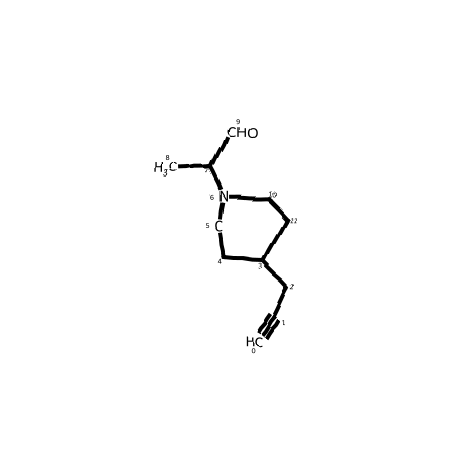 C#CCC1CCN(C(C)C=O)CC1